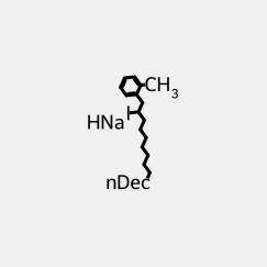 CCCCCCCCCCCCCCCCCC(I)Cc1ccccc1C.[NaH]